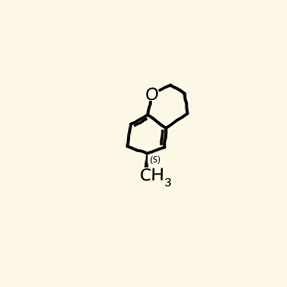 C[C@@H]1C=C2CCCOC2=CC1